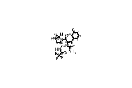 Cc1cccc(-c2sc(N)nc2C(=O)N2[C@H](CNC(=O)C(F)(F)F)C[C@H]3C[C@@H]32)c1